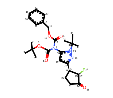 CC(C)(C)OC(=O)N(C(=O)OCc1ccccc1)c1cc([C@@H]2CCC(=O)[C@@H]2F)nn1C(C)(C)C